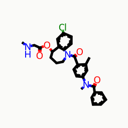 CNCC(=O)OC1CCCN(C(=O)c2ccc(N(C)C(=O)c3ccccc3)cc2C)c2ccc(Cl)cc21